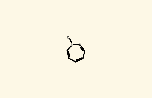 ClN1C=CC=CC=N1